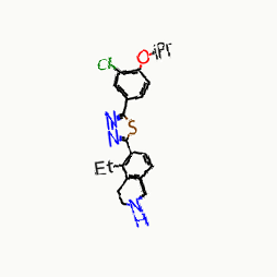 CCc1c(-c2nnc(-c3ccc(OC(C)C)c(Cl)c3)s2)ccc2c1CCNC2